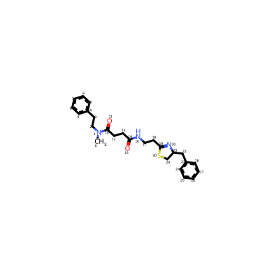 CN(CCc1ccccc1)C(=O)CCC(=O)NCCC1=NC(Cc2ccccc2)CS1